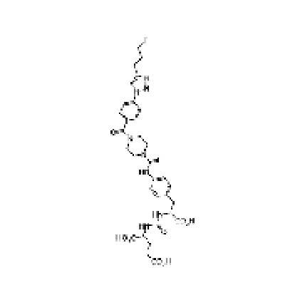 O=C(O)CCC(NC(=O)NC(Cc1ccc(NC(=O)N2CCN(C(=O)c3ccc(-n4cc(CCCF)nn4)cc3)CC2)cc1)C(=O)O)C(=O)O